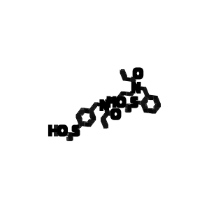 C=CC(=O)N(CCCCN(Cc1ccccc1S(=O)(=O)O)C(=O)C=C)Cc1ccc(S(=O)(=O)O)cc1